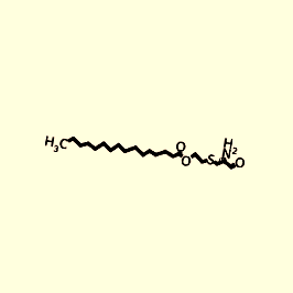 CCCCCCCCCCCCCCCC(=O)OCCSC[C@H](N)C=O